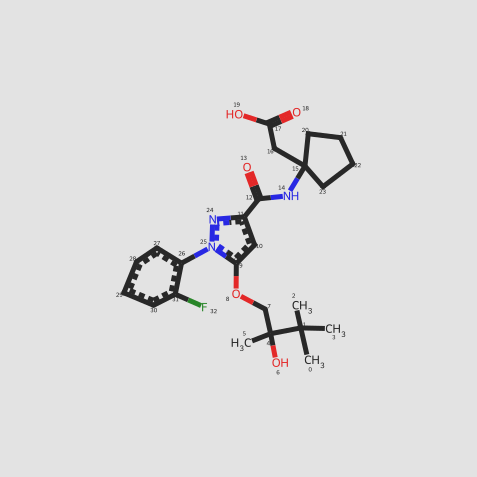 CC(C)(C)C(C)(O)COc1cc(C(=O)NC2(CC(=O)O)CCCC2)nn1-c1ccccc1F